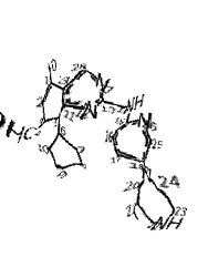 CC1=CC(C=O)C(C2CCCC2)c2nc(Nc3ccc(N4CCNCC4)cn3)ncc21